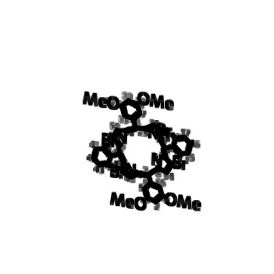 COc1cc(OC)cc(-c2c3nc(c(-c4c(Br)cccc4Br)c4ccc([nH]4)c(-c4cc(OC)cc(OC)c4)c4nc(c(-c5c(Br)cccc5Br)c5ccc2[nH]5)C=C4)C=C3)c1